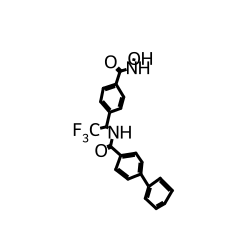 O=C(NO)c1ccc(C(NC(=O)c2ccc(-c3ccccc3)cc2)C(F)(F)F)cc1